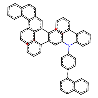 c1ccc(-c2cc(N(c3ccc(-c4cccc5ccccc45)cc3)c3ccccc3-c3ccccc3)ccc2-c2cc3ccc4ccccc4c3c3ccccc23)cc1